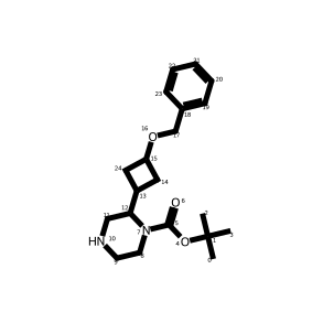 CC(C)(C)OC(=O)N1CCNCC1C1CC(OCc2ccccc2)C1